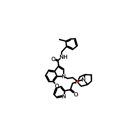 COc1cccc2c(C(=O)NCc3ccccc3C)cn(CCCN3C4CCC3CN(CC(=O)c3ccccn3)C4)c12